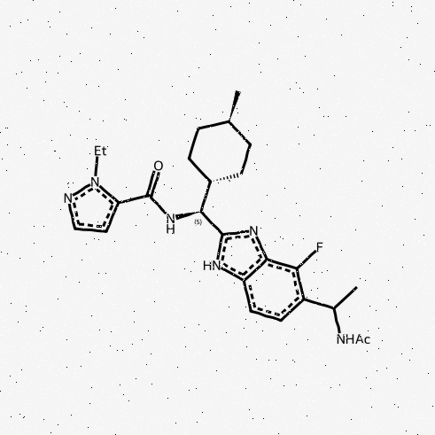 CCn1nccc1C(=O)N[C@H](c1nc2c(F)c(C(C)NC(C)=O)ccc2[nH]1)[C@H]1CC[C@H](C)CC1